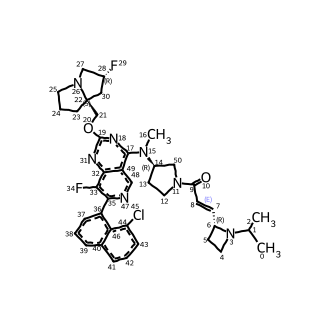 CC(C)N1CC[C@@H]1/C=C/C(=O)N1CC[C@@H](N(C)c2nc(OC[C@@]34CCCN3C[C@H](F)C4)nc3c(F)c(-c4cccc5cccc(Cl)c45)ncc23)C1